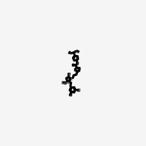 CCCN(C(C)=O)c1ccc(OC(=O)c2ccc(CCC[C@@H]3[C@@H](CCc4cc(Cl)cc(Cl)c4)[C@H](O)C[C@H]3Cl)s2)cc1